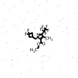 CCOC(=O)c1c(C)c(C(F)(F)C(F)(F)F)nn1CC1CC(F)(F)C1